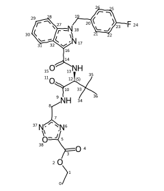 CCOC(=O)c1nc(CNC(=O)[C@@H](NC(=O)c2nn(Cc3ccc(F)cc3)c3ccccc23)C(C)(C)C)no1